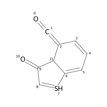 O=C=C1C=CC=C2[SH]=CC(=O)C12